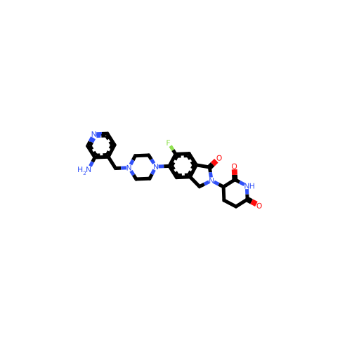 Nc1cnccc1CN1CCN(c2cc3c(cc2F)C(=O)N(C2CCC(=O)NC2=O)C3)CC1